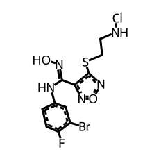 O/N=C(\Nc1ccc(F)c(Br)c1)c1nonc1SCCNCl